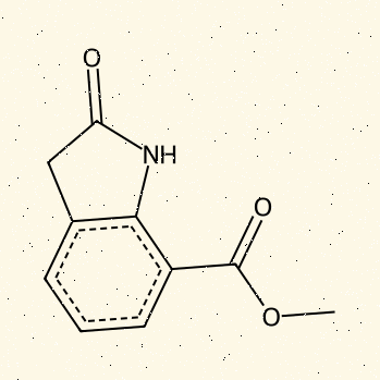 COC(=O)c1cccc2c1NC(=O)C2